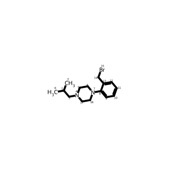 C[C](C)CN1CCN(c2ccccc2CBr)CC1